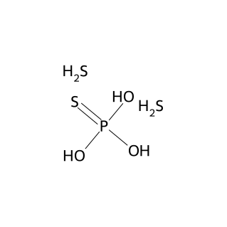 OP(O)(O)=S.S.S